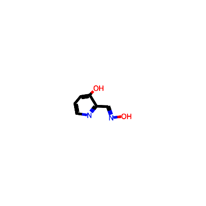 ON=Cc1ncccc1O